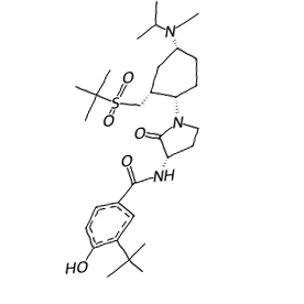 CC(C)N(C)[C@@H]1CC[C@H](N2CC[C@H](NC(=O)c3ccc(O)c(C(C)(C)C)c3)C2=O)[C@H](CS(=O)(=O)C(C)(C)C)C1